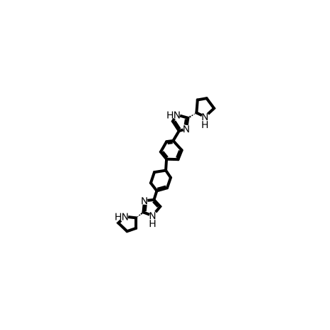 C1=C(c2c[nH]c([C@@H]3CCCN3)n2)CCC(c2ccc(-c3c[nH]c([C@@H]4CCCN4)n3)cc2)C1